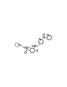 O=C(NCCN1CCCC1)c1ccc(F)c(NCc2ccc(Nc3ccccn3)nc2)c1